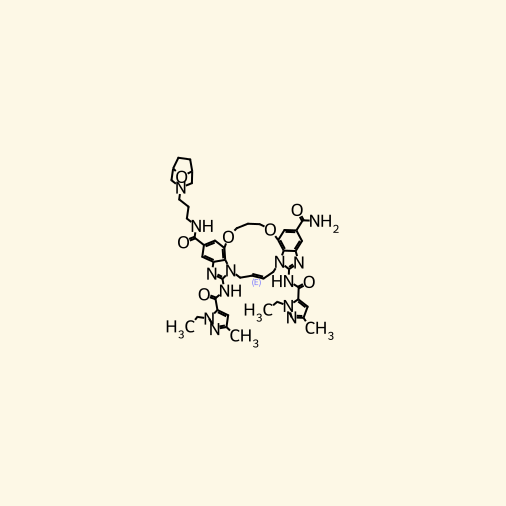 CCn1nc(C)cc1C(=O)Nc1nc2cc(C(N)=O)cc3c2n1C/C=C/Cn1c(NC(=O)c2cc(C)nn2CC)nc2cc(C(=O)NCCCN4CC5CCC(C4)O5)cc(c21)OCCCO3